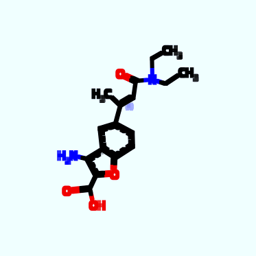 CCN(CC)C(=O)/C=C(\C)c1ccc2oc(C(=O)O)c(N)c2c1